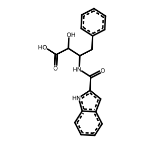 O=C(NC(Cc1ccccc1)C(O)C(=O)O)c1cc2ccccc2[nH]1